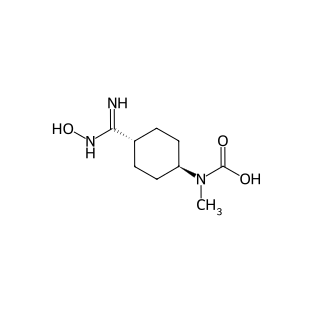 CN(C(=O)O)[C@H]1CC[C@H](C(=N)NO)CC1